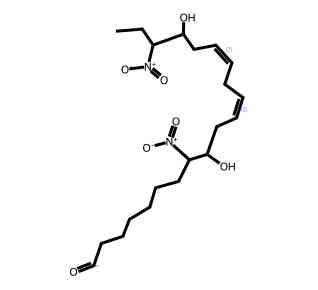 CCC(C(O)C/C=C\C/C=C\CC(O)C(CCCCCC[C]=O)[N+](=O)[O-])[N+](=O)[O-]